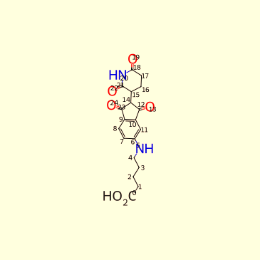 O=C(O)CCCCNc1ccc2c(c1)C(=O)C(C1CCC(=O)NC1=O)C2=O